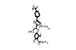 C[SH]1C=C(c2ccc(C(F)(F)F)cc2)N=C1C(CO)Oc1ccc(F)c(C(N)=O)c1F